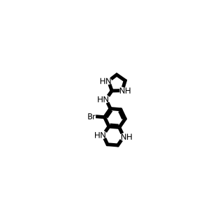 Brc1c(NC2NCCN2)ccc2c1NCCN2